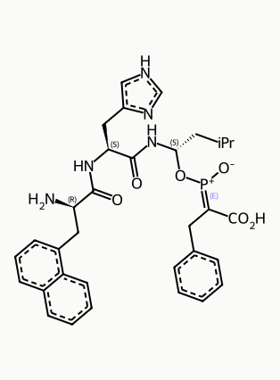 CC(C)C[C@@H](NC(=O)[C@H](Cc1c[nH]cn1)NC(=O)[C@H](N)Cc1cccc2ccccc12)O/[P+]([O-])=C(\Cc1ccccc1)C(=O)O